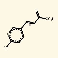 O=C(O)C(=O)/C=C/c1ccc(Cl)nc1